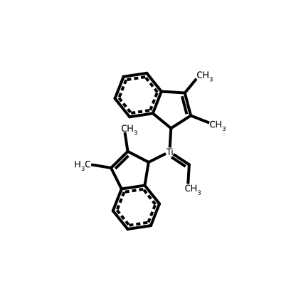 C[CH]=[Ti]([CH]1C(C)=C(C)c2ccccc21)[CH]1C(C)=C(C)c2ccccc21